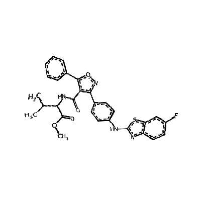 COC(=O)C(NC(=O)c1c(-c2ccc(Nc3nc4ccc(F)cc4s3)cc2)noc1-c1ccccc1)C(C)C